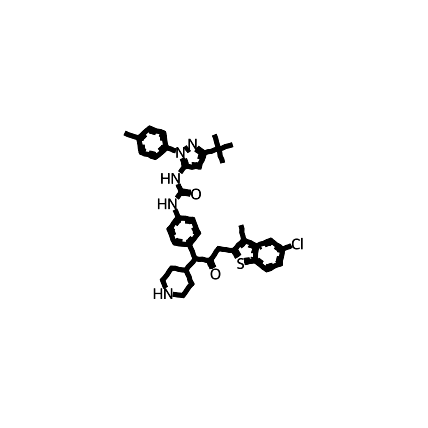 Cc1ccc(-n2nc(C(C)(C)C)cc2NC(=O)Nc2ccc(C(C(=O)Cc3sc4ccc(Cl)cc4c3C)C3CCNCC3)cc2)cc1